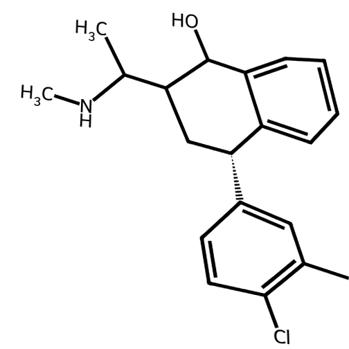 CNC(C)C1C[C@@H](c2ccc(Cl)c(Cl)c2)c2ccccc2C1O